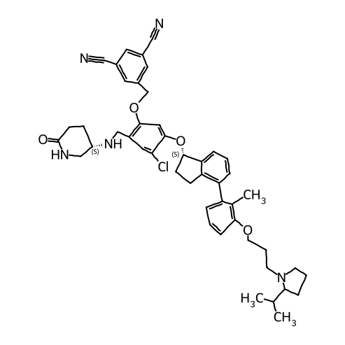 Cc1c(OCCCN2CCCC2C(C)C)cccc1-c1cccc2c1CC[C@@H]2Oc1cc(OCc2cc(C#N)cc(C#N)c2)c(CN[C@H]2CCC(=O)NC2)cc1Cl